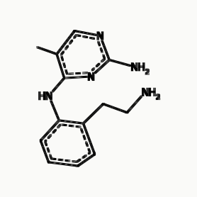 Cc1cnc(N)nc1Nc1ccccc1CCN